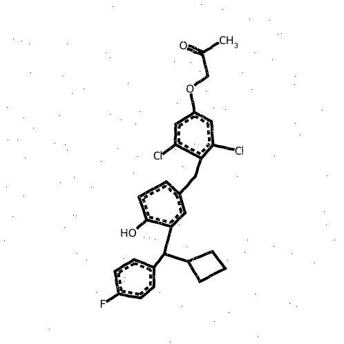 CC(=O)COc1cc(Cl)c(Cc2ccc(O)c(C(c3ccc(F)cc3)C3CCC3)c2)c(Cl)c1